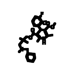 COC(=O)C1=C(C)NC(C)=C(C(=O)OCC(C)(C)CN(C)Cc2ccccc2)C1c1cccc(F)c1Cl